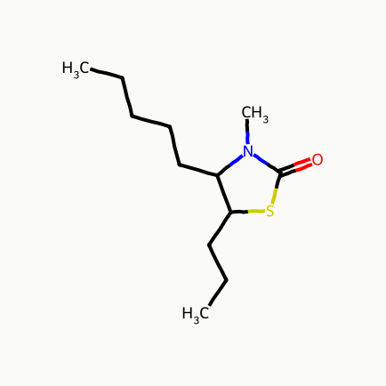 CCCCCC1C(CCC)SC(=O)N1C